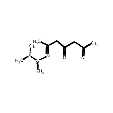 CC(=O)CC(=O)CC(C)=NN(C)[SiH](C)C